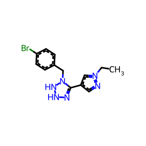 CCn1cc(C2=NNNN2Cc2ccc(Br)cc2)cn1